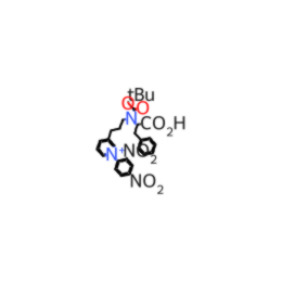 CC(C)(C)OC(=O)N(CCCc1ccc[n+](-c2ccc([N+](=O)[O-])cc2[N+](=O)[O-])c1)C(Cc1ccccc1)C(=O)O